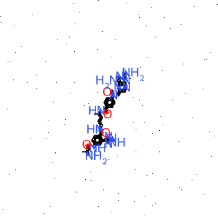 C[C@H](CCCNC(=O)c1ccc(NC(=O)[C@H](C)N)cc1-c1nn[nH]n1)NC(=O)c1ccc(N(C=O)Cc2cnc3nc(N)nc(N)c3n2)cc1